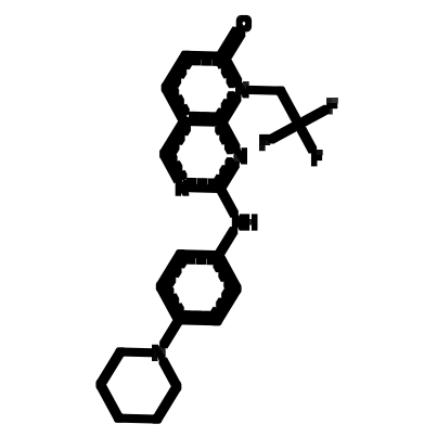 O=c1ccc2cnc(Nc3ccc(N4CCCCC4)cc3)nc2n1CC(F)(F)F